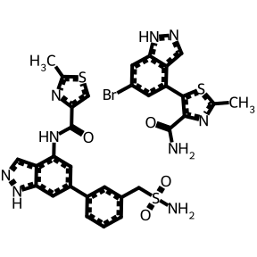 Cc1nc(C(=O)Nc2cc(-c3cccc(CS(N)(=O)=O)c3)cc3[nH]ncc23)cs1.Cc1nc(C(N)=O)c(-c2cc(Br)cc3[nH]ncc23)s1